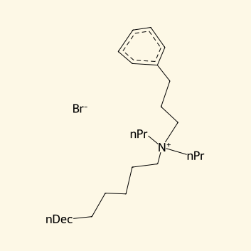 CCCCCCCCCCCCCCC[N+](CCC)(CCC)CCCc1ccccc1.[Br-]